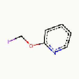 ICOc1ccccn1